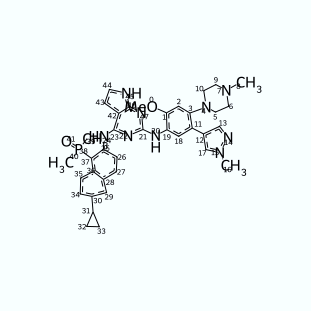 COc1cc(N2CCN(C)CC2)c(-c2cnn(C)c2)cc1Nc1nc(Nc2ccc3cc(C4CC4)ccc3c2P(C)(C)=O)c2cc[nH]c2n1